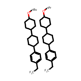 CCCCOC1CCC(C2CCC(c3ccc(CC(F)(F)F)cc3)CC2)CC1.CCCOC1CCC(C2CCC(c3ccc(CC(F)(F)F)cc3)CC2)CC1